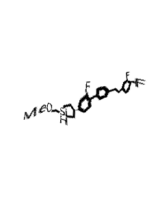 COCCC[Si@H]1CC[C@H](c2ccc(-c3ccc(CCc4ccc(F)c(F)c4)cc3)c(F)c2)CC1